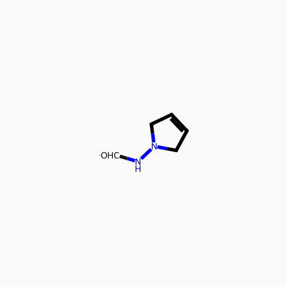 O=[C]NN1CC=CC1